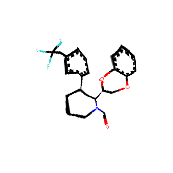 O=CN1CCC[C@@H](c2cccc(C(F)(F)F)c2)C1[C@@H]1COc2ccccc2O1